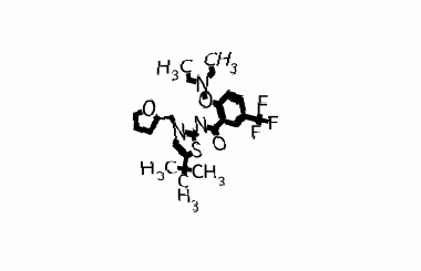 CCN(CC)Oc1ccc(C(F)(F)F)cc1C(=O)N=c1sc(C(C)(C)C)cn1C[C@H]1CCCO1